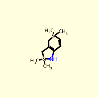 C[Si]1(C)C=CC2=C(C1)C[Si](C)(C)N2